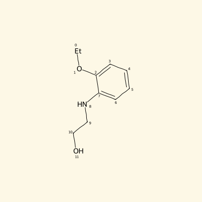 CCOc1ccccc1NCCO